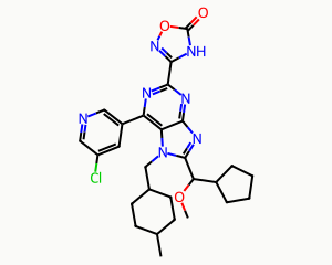 COC(c1nc2nc(-c3noc(=O)[nH]3)nc(-c3cncc(Cl)c3)c2n1CC1CCC(C)CC1)C1CCCC1